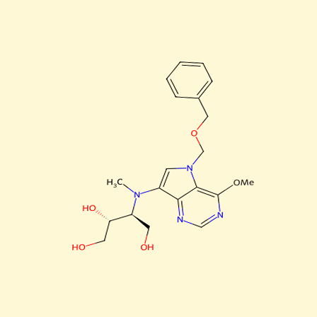 COc1ncnc2c(N(C)[C@@H](CO)[C@@H](O)CO)cn(COCc3ccccc3)c12